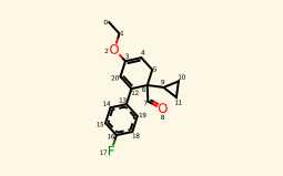 CCOC1=CCC(C=O)(C2CC2)C(c2ccc(F)cc2)=C1